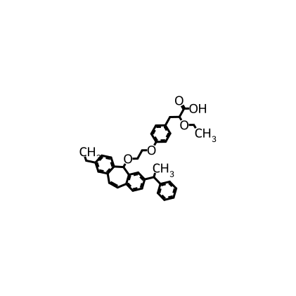 CCOC(Cc1ccc(OCCOC2c3ccc(CC)cc3C=Cc3ccc(C(C)c4ccccc4)cc32)cc1)C(=O)O